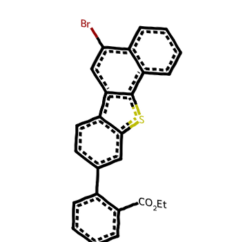 CCOC(=O)c1ccccc1-c1ccc2c(c1)sc1c3ccccc3c(Br)cc21